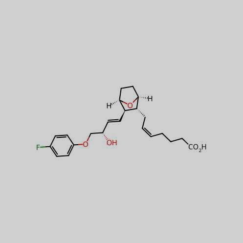 O=C(O)CCC/C=C\C[C@@H]1[C@@H](/C=C/[C@H](O)COc2ccc(F)cc2)[C@H]2CC[C@@H]1O2